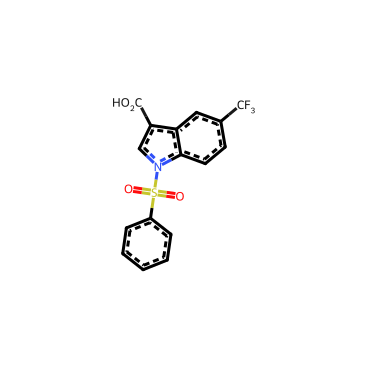 O=C(O)c1cn(S(=O)(=O)c2ccccc2)c2ccc(C(F)(F)F)cc12